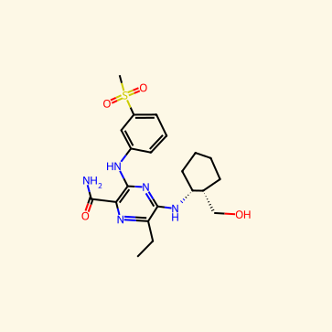 CCc1nc(C(N)=O)c(Nc2cccc(S(C)(=O)=O)c2)nc1N[C@@H]1CCCC[C@@H]1CO